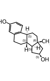 C[C@]12CC[C@@H]3c4ccc(O)cc4CC[C@H]3[C@@H]1C[C@H](O)C2